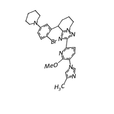 COc1nc(-c2nc3n(n2)CCCC3c2cc(N3CCCCC3)ccc2Br)ccc1-n1cnc(C)c1